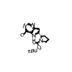 CC(C)(C)OC(=O)N1CCC[C@H]1c1cc2ncnc(Cl)c2[nH]1